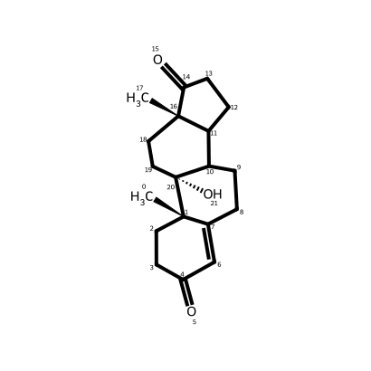 C[C@]12CCC(=O)C=C1CCC1C3CCC(=O)[C@@]3(C)CC[C@@]12O